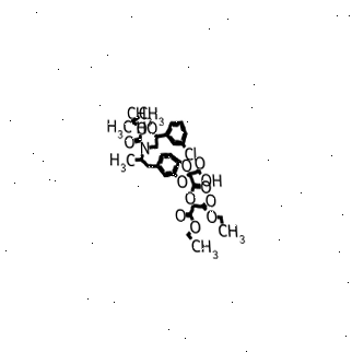 CCOC(=O)C(OC(=O)C1(C(=O)O)Oc2ccc(CC(C)N(CC(O)c3cccc(Cl)c3)C(=O)OC(C)(C)C)cc2O1)C(=O)OCC